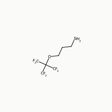 FC(F)(F)C(OCCC[SiH3])(C(F)(F)F)C(F)(F)F